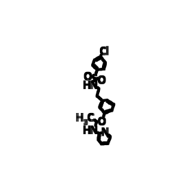 CC(Nc1ccccn1)Oc1cccc(CCNS(=O)(=O)c2ccc(Cl)cc2)c1